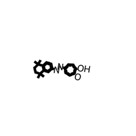 CC1(C)CCC(C)(C)c2cc(/N=N/c3ccc(O)c(=O)cc3)ccc21